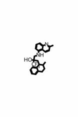 Cc1ccc2c(NCC(O)(CC3c4ccccc4CCC3C)C(F)(F)F)cccc2n1